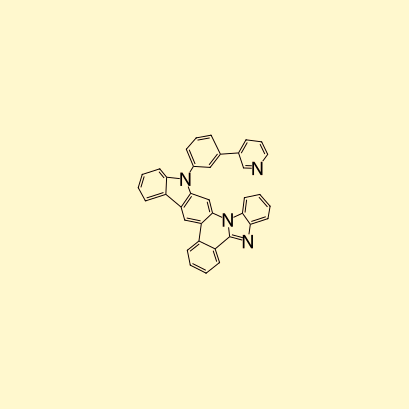 c1cncc(-c2cccc(-n3c4ccccc4c4cc5c6ccccc6c6nc7ccccc7n6c5cc43)c2)c1